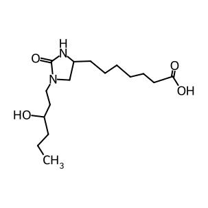 CCCC(O)CCN1CC(CCCCCCC(=O)O)NC1=O